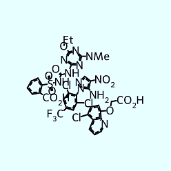 CCOc1nc(NC)nc(NC(=O)NS(=O)(=O)c2ccccc2C(=O)O)n1.Nc1c([N+](=O)[O-])cnn1-c1c(Cl)cc(C(F)(F)F)cc1Cl.O=C(O)COc1ccc(Cl)c2cccnc12